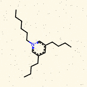 CCCCCC[n+]1cc(CCCC)cc(CCCC)c1